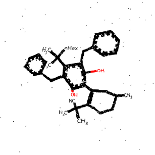 CCCCCCC(C)(C)c1c(Cc2ccccc2)c(O)c(C2=C(C(C)(C)C#N)CCC(C)C2)c(O)c1Cc1ccccc1